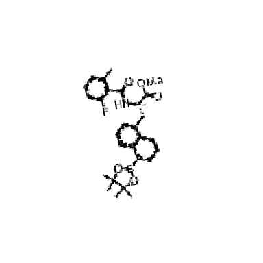 COC(=O)[C@H](Cc1cccc2c(B3OC(C)(C)C(C)(C)O3)cccc12)NC(=O)c1c(C)cccc1F